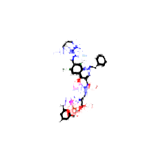 Cc1cc(C)c(S(=O)(=O)NC(CNC(=O)c2cn(CCc3ccccc3)c3c(F)c(CNC4N=CCCN4)c(F)cc3c2=O)C(=O)O)c(C)c1